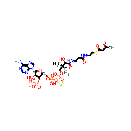 CC(=O)CC(=O)SCCNC(=O)CCNC(=O)C(O)C(C)(C)COP(=O)(O)OP(=O)(O)OC[C@H]1O[C@@H](n2cnc3c(N)ncnc32)[C@H](O)[C@@H]1OP(=O)(O)O.S